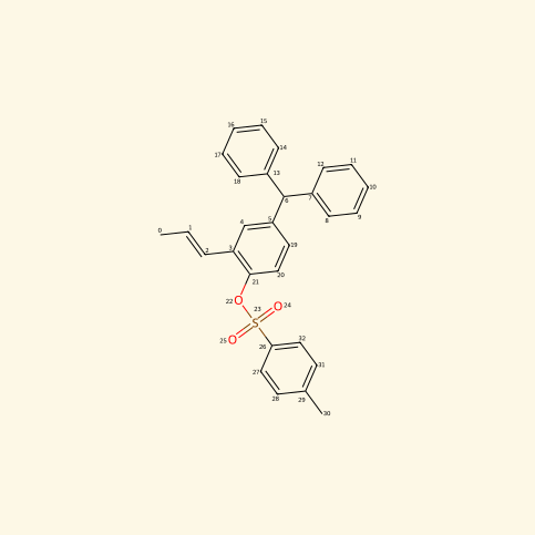 CC=Cc1cc(C(c2ccccc2)c2ccccc2)ccc1OS(=O)(=O)c1ccc(C)cc1